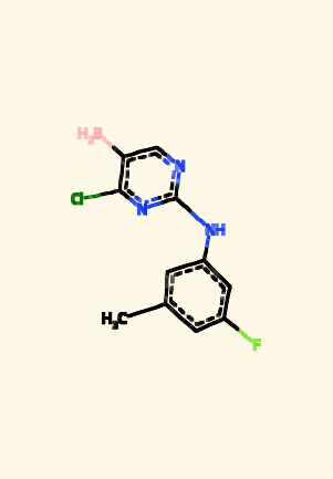 Bc1cnc(Nc2cc(C)cc(F)c2)nc1Cl